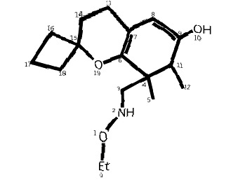 CCONCC1(C)C2=C(C=C(O)C1C)CCC1(CCC1)O2